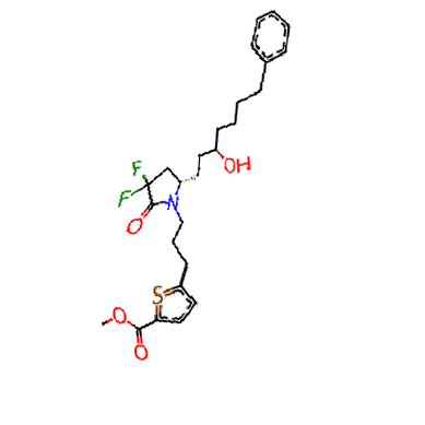 COC(=O)c1ccc(CCCN2C(=O)C(F)(F)C[C@@H]2CC[C@H](O)CCCCc2ccccc2)s1